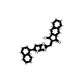 O=C1C(=Cc2nc3sc(-c4cccc5ccccc45)cc3o2)C(=O)c2cc3ccccc3cc21